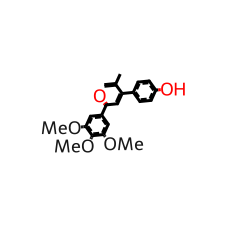 C=C(C)/C(=C\C(=O)c1cc(OC)c(OC)c(OC)c1)c1ccc(O)cc1